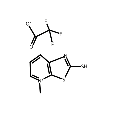 C[n+]1cccc2nc(S)sc21.O=C([O-])C(F)(F)F